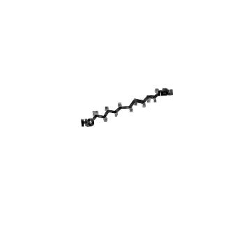 CCCC/C=C/C=C/CCCCCCO